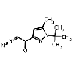 Cc1cc(C(=O)C=[N+]=[N-])nn1C(C)(C)C